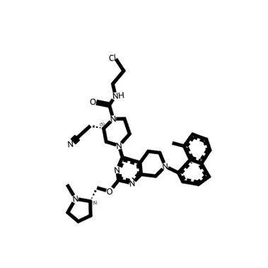 Cc1cccc2cccc(N3CCc4c(nc(OC[C@@H]5CCCN5C)nc4N4CCN(C(=O)NCCCl)[C@@H](CC#N)C4)C3)c12